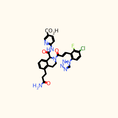 NC(=O)CCc1cccc2c1CCN(C(=O)/C=C/c1c(-n3cnnn3)ccc(Cl)c1F)C2C(=O)Nc1ccc(C(=O)O)cn1